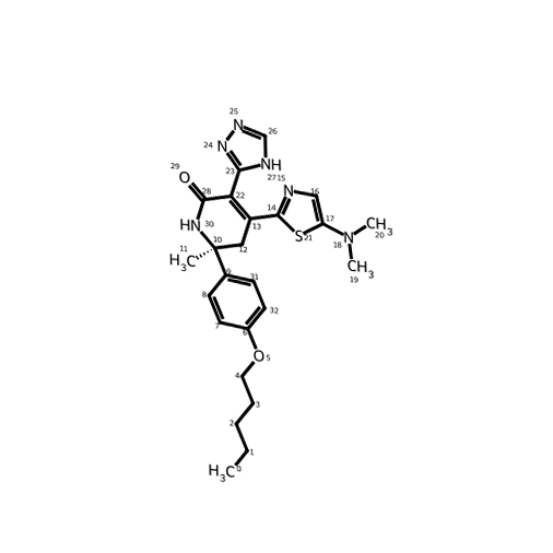 CCCCCOc1ccc([C@]2(C)CC(c3ncc(N(C)C)s3)=C(c3nnc[nH]3)C(=O)N2)cc1